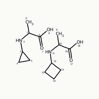 CC(NC1CC1)C(=O)O.CC(NC1CCC1)C(=O)O